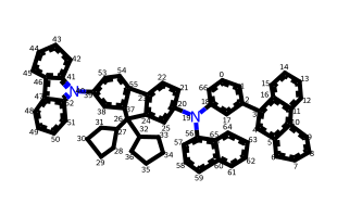 c1cc(-c2cc3ccccc3c3ccccc23)cc(N(c2ccc3c(c2)C(C2CCCC2)(C2CCCC2)c2cc(-n4c5ccccc5c5ccccc54)ccc2-3)c2cccc3ccccc23)c1